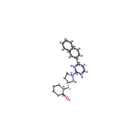 O=C1CCCCN1C[C@@H]1CCN(c2nccc(-c3ccc4ccccc4c3)n2)C1